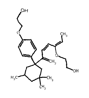 C=C(/C=C\C(=C/C)OCCO)C1(c2ccc(OCCO)cc2)CC(C)CC(C)(C)C1